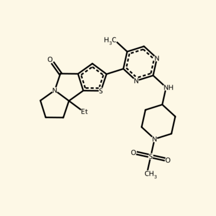 CCC12CCCN1C(=O)c1cc(-c3nc(NC4CCN(S(C)(=O)=O)CC4)ncc3C)sc12